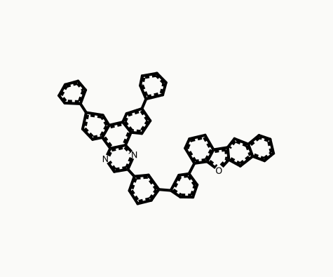 c1ccc(-c2ccc3c(c2)c2cc(-c4ccccc4)ccc2c2nc(-c4cccc(-c5cccc(-c6cccc7c6oc6cc8ccccc8cc67)c5)c4)cnc32)cc1